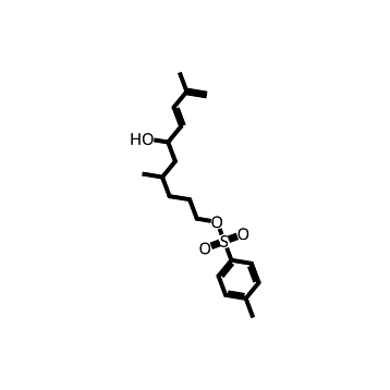 C=C(C)/C=C/C(O)CC(C)CCCOS(=O)(=O)c1ccc(C)cc1